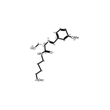 CCCCCCCCCCCCCCNC(=O)[C@H](CO)N=Cc1cccc(OC)c1